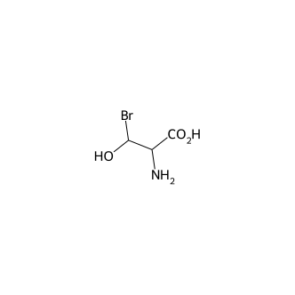 NC(C(=O)O)C(O)Br